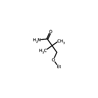 CCOCC(C)(C)C(N)=O